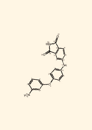 Nc1cccc(Oc2ccc(Nc3ccc4c(c3)C(=O)NC4=O)cc2)c1